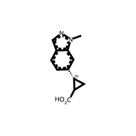 Cn1ncc2ccc([C@@H]3CC3C(=O)O)cc21